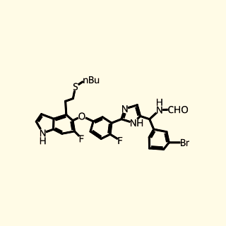 CCCCSCCc1c(Oc2ccc(F)c(-c3ncc(C(NC=O)c4cccc(Br)c4)[nH]3)c2)c(F)cc2[nH]ccc12